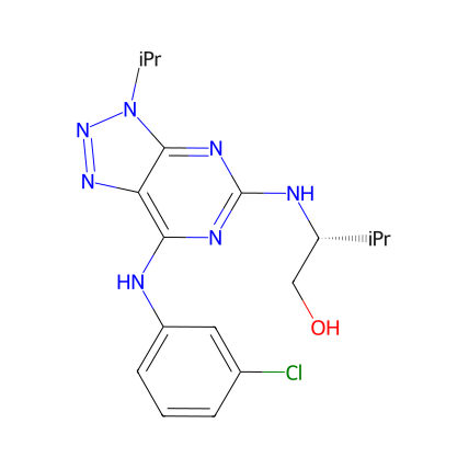 CC(C)[C@H](CO)Nc1nc(Nc2cccc(Cl)c2)c2nnn(C(C)C)c2n1